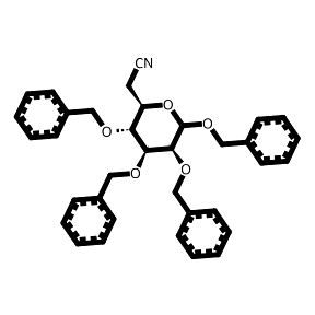 N#CC[C@H]1OC(OCc2ccccc2)[C@@H](OCc2ccccc2)[C@@H](OCc2ccccc2)[C@@H]1OCc1ccccc1